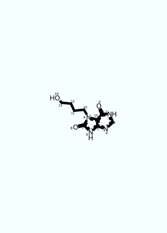 O=c1[nH]cnc2[nH]c(=O)n(CCCCO)c12